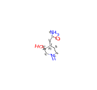 NC(=O)C[C@H]1CCNC[C@H]1O